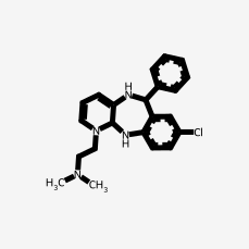 CN(C)CCN1C=CC=C2NC(c3ccccc3)c3cc(Cl)ccc3NC21